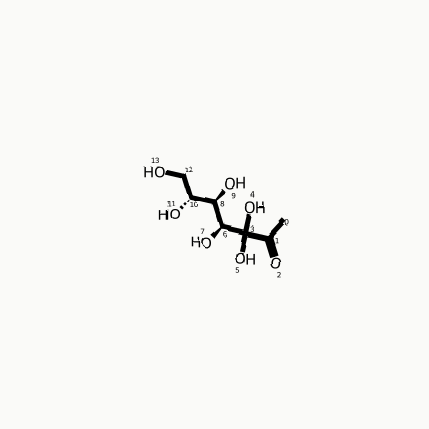 CC(=O)C(O)(O)[C@@H](O)[C@H](O)[C@H](O)CO